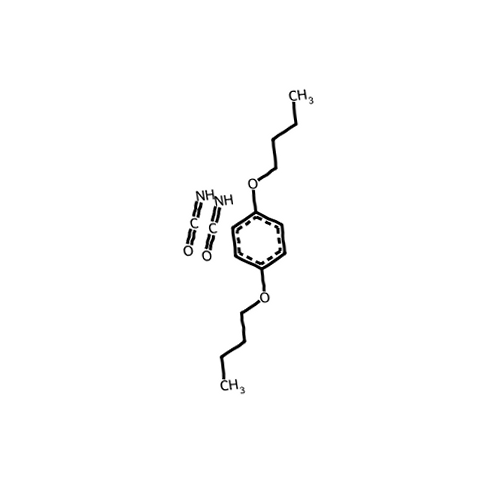 CCCCOc1ccc(OCCCC)cc1.N=C=O.N=C=O